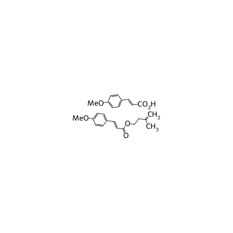 C=C(C)CCOC(=O)C=Cc1ccc(OC)cc1.COc1ccc(C=CC(=O)O)cc1